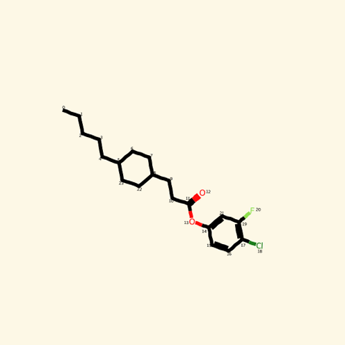 CCCCCC1CCC(CCC(=O)Oc2ccc(Cl)c(F)c2)CC1